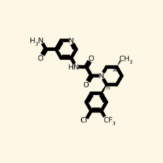 C[C@@H]1CC[C@@H](c2ccc(Cl)c(C(F)(F)F)c2)N(C(=O)C(=O)Nc2cncc(C(N)=O)c2)C1